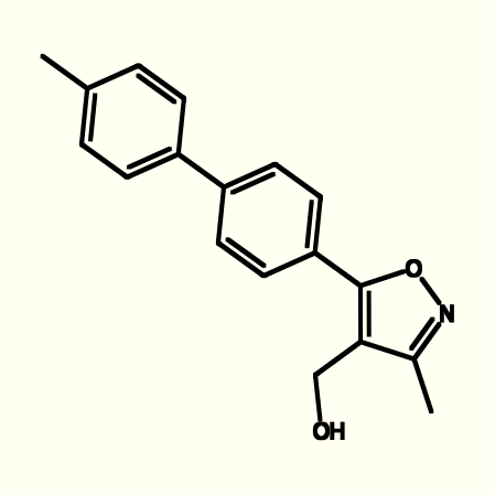 Cc1ccc(-c2ccc(-c3onc(C)c3CO)cc2)cc1